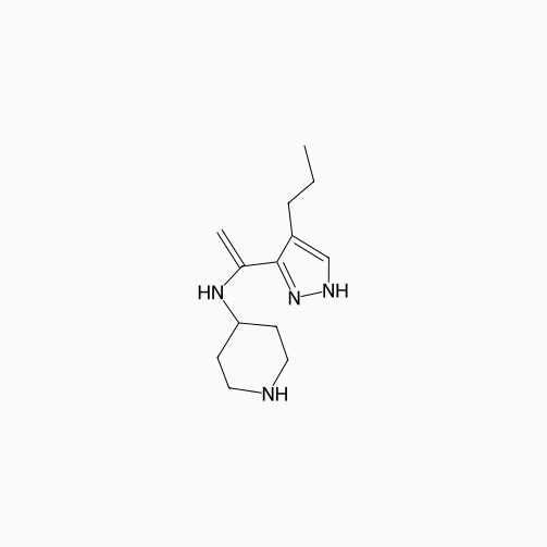 C=C(NC1CCNCC1)c1n[nH]cc1CCC